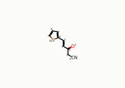 N#CCC(=O)C=Cc1cccs1